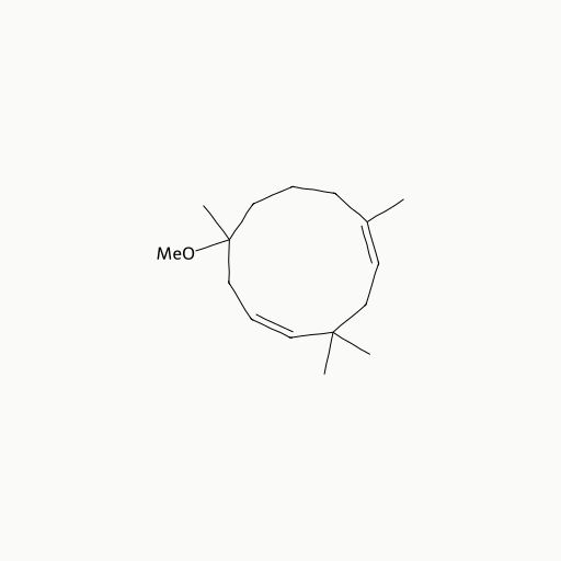 COC1(C)CC=CC(C)(C)CC=C(C)CCC1